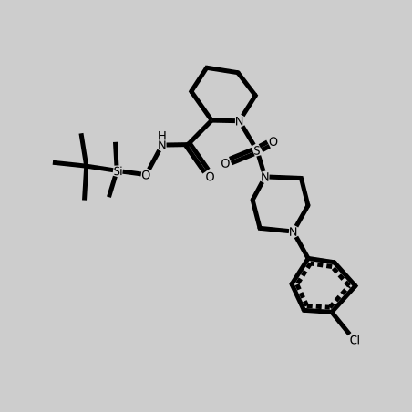 CC(C)(C)[Si](C)(C)ONC(=O)C1CCCCN1S(=O)(=O)N1CCN(c2ccc(Cl)cc2)CC1